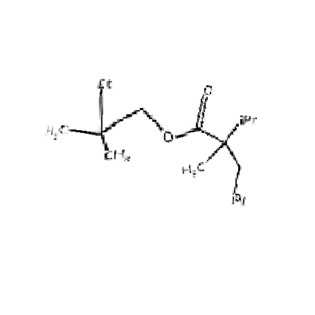 CCC(C)(C)COC(=O)C(C)(CC(C)C)C(C)C